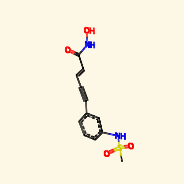 CS(=O)(=O)Nc1cccc(C#CC=CC(=O)NO)c1